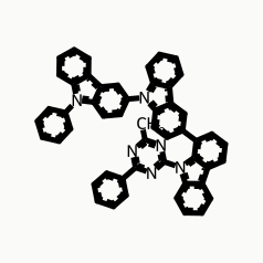 Cc1nc(-c2ccccc2)nc(-n2c3ccccc3c3cccc(-c4ccc5c(c4)c4ccccc4n5-c4ccc5c(c4)c4ccccc4n5-c4ccccc4)c32)n1